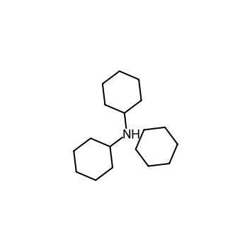 C1CCC(NC2CCCCC2)CC1.C1CCCCC1